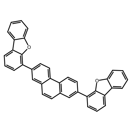 c1ccc2c(c1)oc1c(-c3ccc4c(ccc5cc(-c6cccc7c6oc6ccccc67)ccc54)c3)cccc12